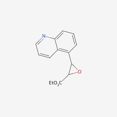 CCOC(=O)C1OC1c1cccc2ncccc12